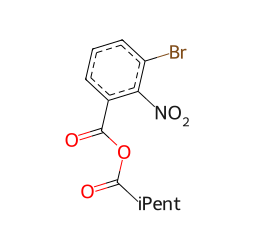 CCCC(C)C(=O)OC(=O)c1cccc(Br)c1[N+](=O)[O-]